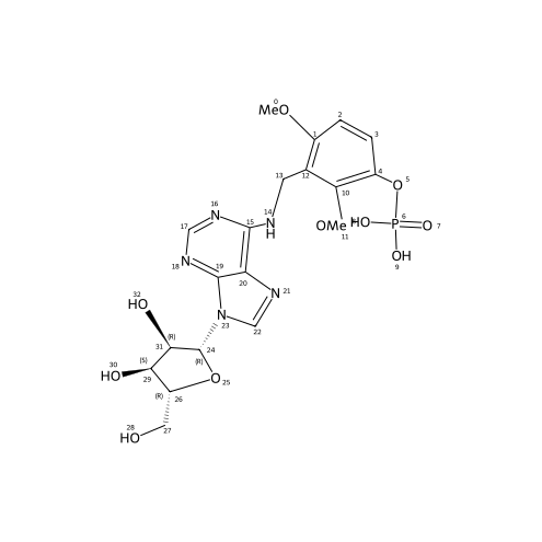 COc1ccc(OP(=O)(O)O)c(OC)c1CNc1ncnc2c1ncn2[C@@H]1O[C@H](CO)[C@@H](O)[C@H]1O